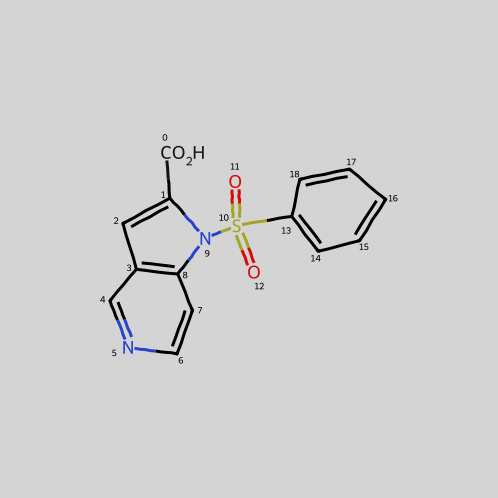 O=C(O)c1cc2cnccc2n1S(=O)(=O)c1ccccc1